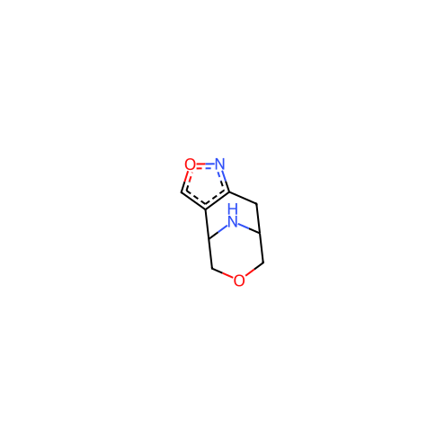 c1onc2c1C1COCC(C2)N1